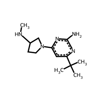 CNC1CCN(c2cc(C(C)(C)C)nc(N)n2)C1